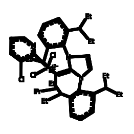 CCC(CC)c1cccc(C(CC)CC)c1N1C=CN(c2c(C(CC)CC)cccc2C(CC)CC)C1=[C](CC(C)C)[Pd-2]([Cl])([Cl])[c]1ncccc1Cl